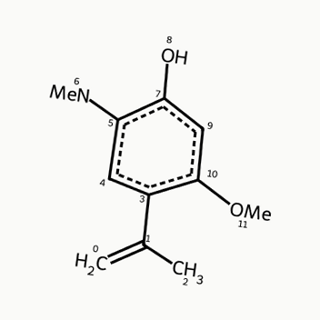 C=C(C)c1cc(NC)c(O)cc1OC